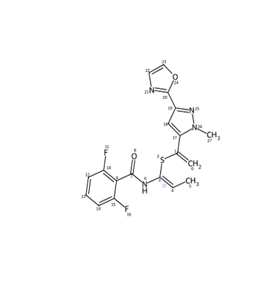 C=C(S/C(=C\C)NC(=O)c1c(F)cccc1F)c1cc(-c2ncco2)nn1C